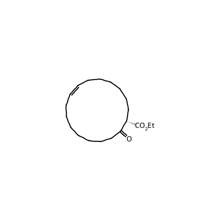 CCOC(=O)[C@H]1CCCCCC/C=C\CCCCCCCC1=O